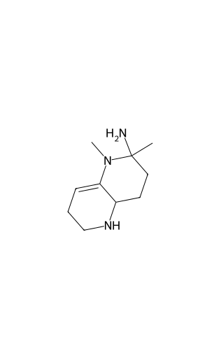 CN1C2=CCCNC2CCC1(C)N